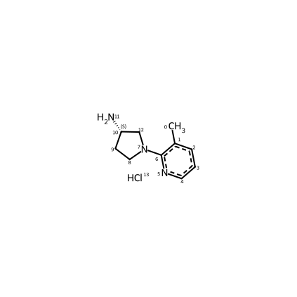 Cc1cccnc1N1CC[C@H](N)C1.Cl